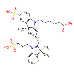 CC1(C)C(/C=C/C=C2/N(CCCCCC(=O)O)c3ccc(S(=O)(=O)O)cc3C2(C)C)=[N+](CCCS(=O)(=O)O)c2ccccc21